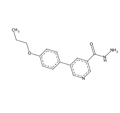 CCCOc1ccc(-c2cncc(C(=O)NN)c2)cc1